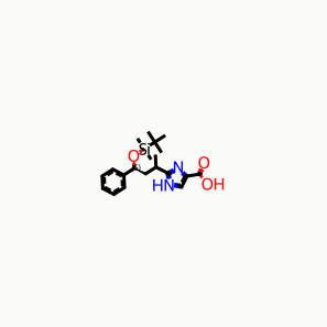 CC(C[C@H](O[Si](C)(C)C(C)(C)C)c1ccccc1)c1nc(C(=O)O)c[nH]1